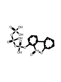 O=[PH]1Oc2ccccc2-c2cccc(OP(=O)(O)OP(=O)(O)OP(=O)(O)O)c21